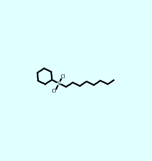 CCCCCCCC[Si](Cl)(Cl)C1CCCCC1